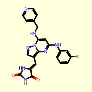 O=C1NC(=O)C(=Cc2cnn3c(NCc4ccncc4)cc(Nc4cccc(Cl)c4)nc23)N1